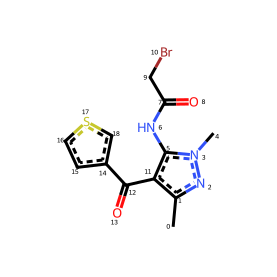 Cc1nn(C)c(NC(=O)CBr)c1C(=O)c1ccsc1